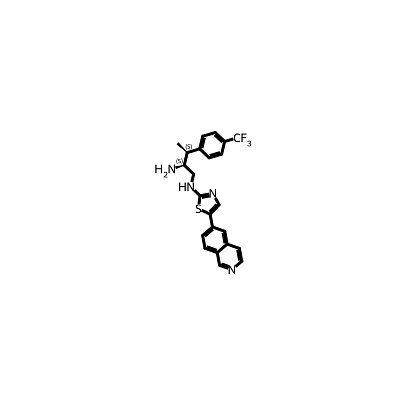 C[C@@H](c1ccc(C(F)(F)F)cc1)[C@H](N)CNc1ncc(-c2ccc3cnccc3c2)s1